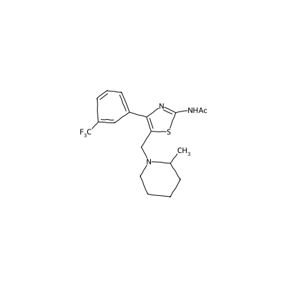 CC(=O)Nc1nc(-c2cccc(C(F)(F)F)c2)c(CN2CCCCC2C)s1